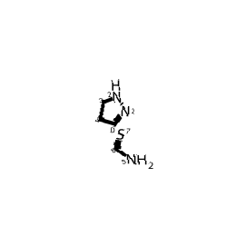 C1=NNCC1.NC=S